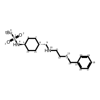 CC(C)(C)S(=O)(=O)N[C@H]1CC[C@H](CNCCSCc2ccccc2)CC1